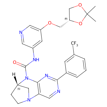 CC1(C)OC[C@@H](COc2cncc(NC(=O)N3c4nc(-c5cccc(C(F)(F)F)c5)ncc4N4CC[C@H]3C4)c2)O1